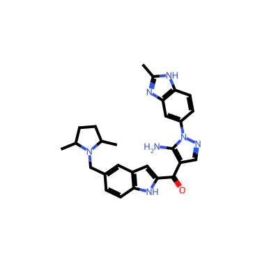 Cc1nc2cc(-n3ncc(C(=O)c4cc5cc(CN6C(C)CCC6C)ccc5[nH]4)c3N)ccc2[nH]1